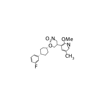 COc1ncc(C)cc1C(CO[C@H]1CC[C@@H](c2cccc(F)c2)CC1)C[N+](=O)[O-]